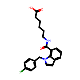 O=C(O)CCCCCNC(=O)c1cccc2ccn(Cc3ccc(Cl)cc3)c12